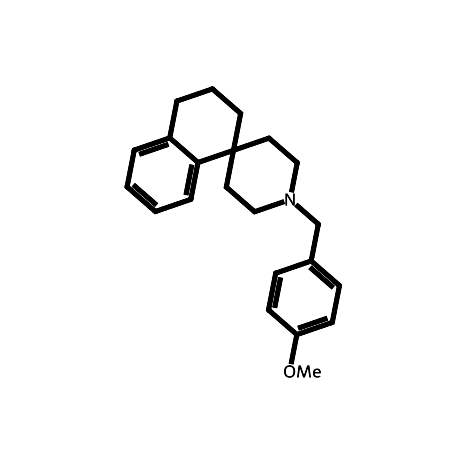 COc1ccc(CN2CCC3(CCCc4ccccc43)CC2)cc1